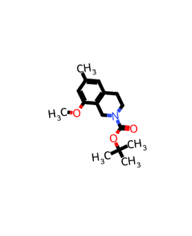 COc1cc(C)cc2c1CN(C(=O)OC(C)(C)C)CC2